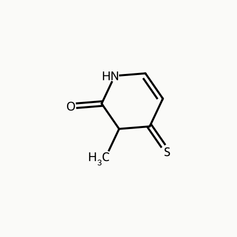 CC1C(=O)NC=CC1=S